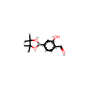 CC1(C)OB(c2ccc(C=O)c(O)c2)OC1(C)C